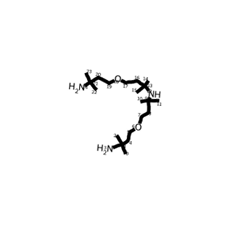 CC(C)(N)CCOCCC(C)(C)NC(C)(C)CCOCCC(C)(C)N